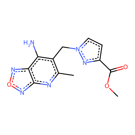 COC(=O)c1ccn(Cc2c(C)nc3nonc3c2N)n1